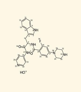 Cl.O=C(NC(Cc1c[nH]c2ccccc12)C(=O)Nc1ccncc1)c1ccc(N2CCNCC2)cc1F